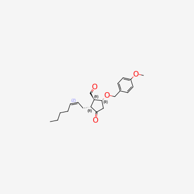 CCCC/C=C\C[C@H]1C(=O)C[C@@H](OCc2ccc(OC)cc2)[C@@H]1C=O